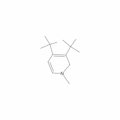 CN1C=CC(C(C)(C)C)=C(C(C)(C)C)C1